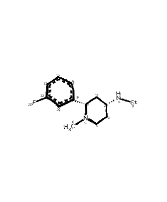 CCN[C@@H]1CCN(C)[C@H](c2cccc(F)c2)C1